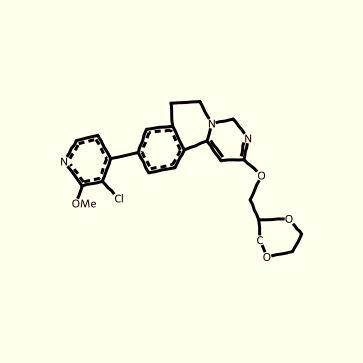 COc1nccc(-c2ccc3c(c2)CCN2CN=C(OCC4COCCO4)C=C32)c1Cl